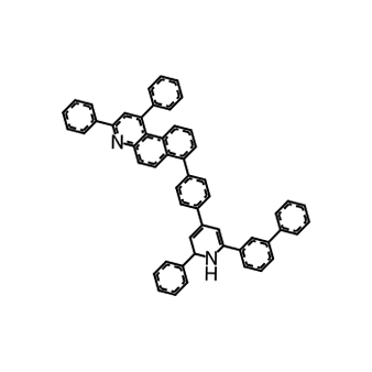 C1=C(c2ccc(-c3cccc4c3ccc3nc(-c5ccccc5)cc(-c5ccccc5)c34)cc2)C=C(c2cccc(-c3ccccc3)c2)NC1c1ccccc1